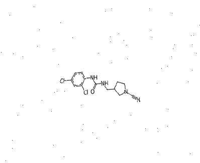 N#CN1CCC(CNC(=O)Nc2ccc(Cl)cc2Cl)C1